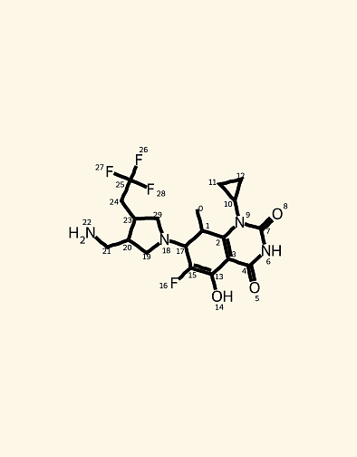 CC1c2c(c(=O)[nH]c(=O)n2C2CC2)C(O)=C(F)C1N1CC(CN)C(CC(F)(F)F)C1